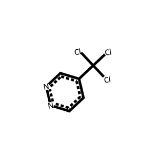 ClC(Cl)(Cl)c1ccnnc1